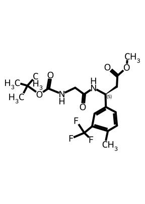 COC(=O)C[C@H](NC(=O)CNC(=O)OC(C)(C)C)c1ccc(C)c(C(F)(F)F)c1